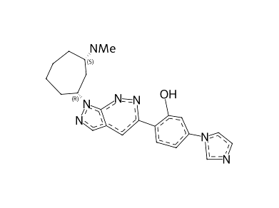 CN[C@H]1CCCC[C@@H](n2ncc3cc(-c4ccc(-n5ccnc5)cc4O)nnc32)C1